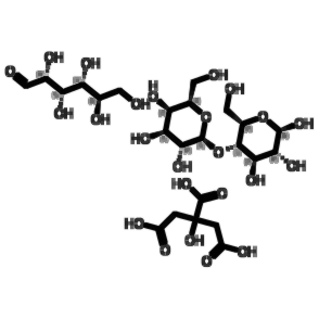 O=C(O)CC(O)(CC(=O)O)C(=O)O.O=C[C@H](O)[C@@H](O)[C@H](O)[C@H](O)CO.OC[C@H]1O[C@@H](O[C@H]2[C@H](O)[C@@H](O)[C@H](O)O[C@@H]2CO)[C@H](O)[C@@H](O)[C@H]1O